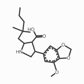 CCCC(C)(C)CC1NCC(c2cc(OC)c3c(c2)OCO3)C1C(=O)O